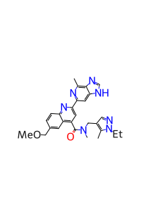 CCn1ncc(CN(C)C(=O)c2cc(-c3cc4[nH]cnc4c(C)n3)nc3ccc(COC)cc23)c1C